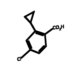 O=C(O)c1ccc(Cl)cc1C1CC1